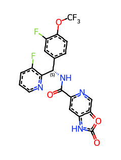 O=C(N[C@@H](c1ccc(OC(F)(F)F)c(F)c1)c1ncccc1F)c1cc2[nH]c(=O)oc2cn1